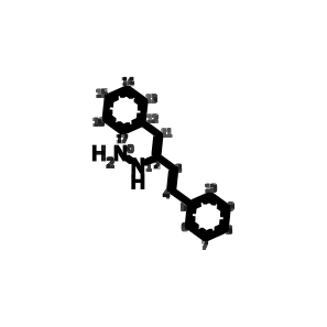 NNC(C=Cc1ccccc1)=Cc1ccccc1